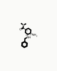 CN(C)C(=O)[C@H]1CC[C@H](N)[C@H](NCc2ccccc2)C1